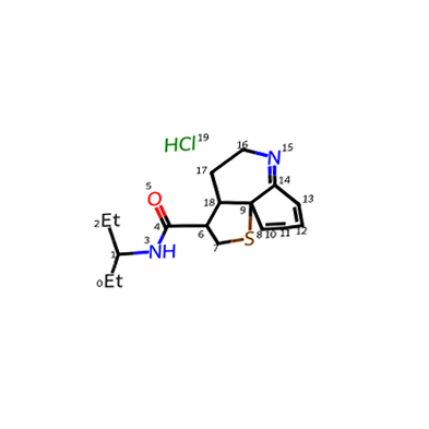 CCC(CC)NC(=O)C1CSC23C=CC=CC2=NCCC13.Cl